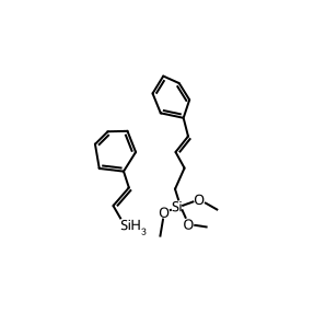 CO[Si](CCC=Cc1ccccc1)(OC)OC.[SiH3]C=Cc1ccccc1